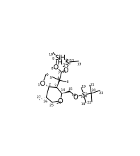 CO[C@@H]1[C@@H](C(C)(C)C(O[SiH2]C)O[SiH2]C)[C@@H](CO[Si](C)(C)C(C)(C)C)OC[C@@H]1C